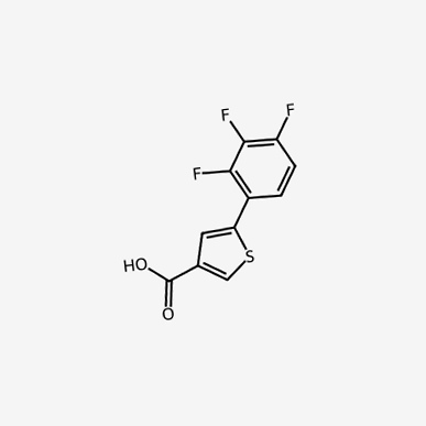 O=C(O)c1csc(-c2ccc(F)c(F)c2F)c1